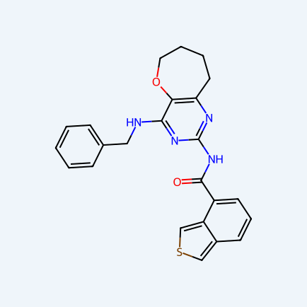 O=C(Nc1nc2c(c(NCc3ccccc3)n1)OCCCC2)c1cccc2cscc12